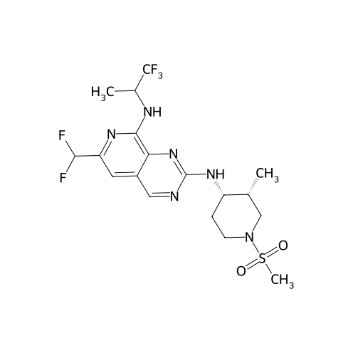 CC(Nc1nc(C(F)F)cc2cnc(N[C@H]3CCN(S(C)(=O)=O)C[C@H]3C)nc12)C(F)(F)F